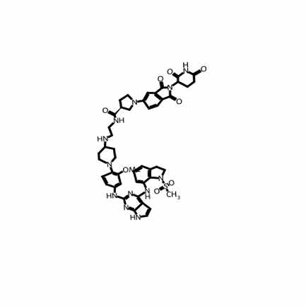 COc1cc(Nc2nc(Nc3cccc4c3N(S(C)(=O)=O)CC4)c3cc[nH]c3n2)ccc1N1CCC(NCCNC(=O)[C@H]2CCN(c3ccc4c(c3)C(=O)N(C3CCC(=O)NC3=O)C4=O)C2)CC1